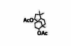 CC(=O)OC1CCC23CC1(C)CCC2C(C)(C)CC3OC(C)=O